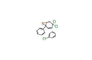 ClC1(Cl)C=CC2(c3ccccc3)SC2C1.Clc1ccccc1